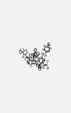 COc1cccc2c1CC[C@H]2Nc1nccc2cc(-c3c(-c4n[nH]c(=O)o4)c(CCc4ccc(F)cc4)nc4c3S(=O)(=O)CC4C(C)C)sc12